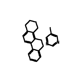 Cc1cncnc1.c1ccc2c(c1)CCc1c-2ccc2c1CCCC2